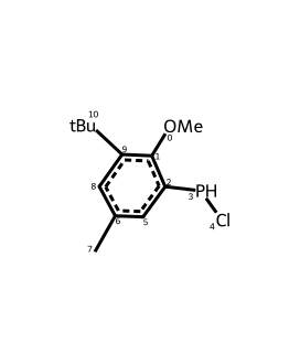 COc1c(PCl)cc(C)cc1C(C)(C)C